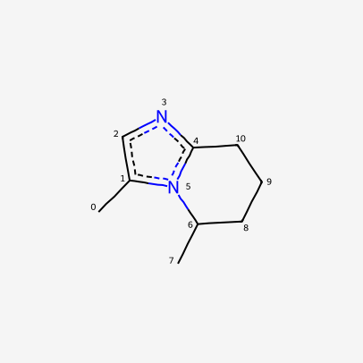 Cc1cnc2n1C(C)CCC2